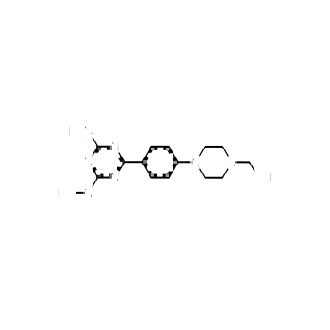 CCN1CCN(c2ccc(-c3nc(N)nc(NC)n3)cc2)CC1